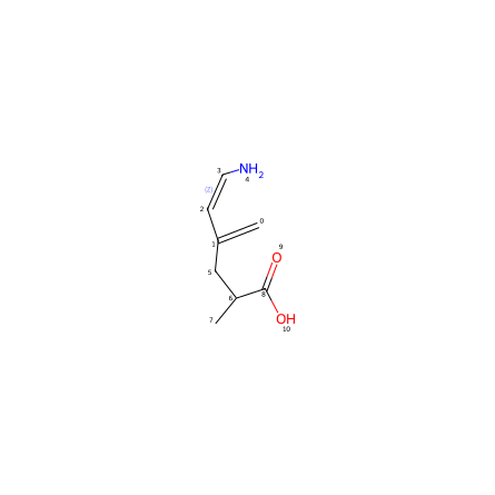 C=C(/C=C\N)CC(C)C(=O)O